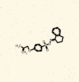 C=C(C)COc1ccc(S(=O)(=O)O/N=C2\CCCc3ccccc32)cc1